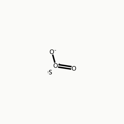 O=[O+][O-].[S]